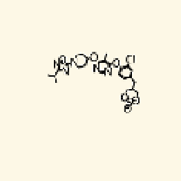 Cc1c(Oc2ccc(CC3COS(=O)OC3)cc2Cl)ncnc1OC1CCN(c2nc(C(C)C)no2)CC1